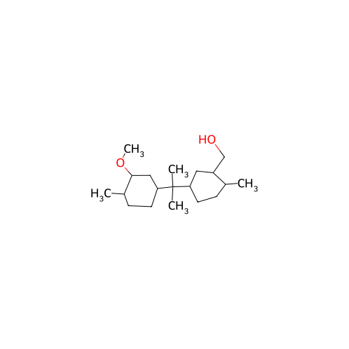 COC1CC(C(C)(C)C2CCC(C)C(CO)C2)CCC1C